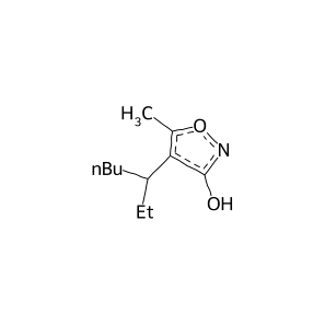 CCCCC(CC)c1c(O)noc1C